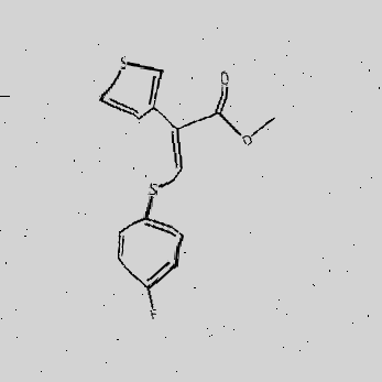 COC(=O)/C(=C/Sc1ccc(F)cc1)c1ccsc1